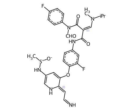 CC(C)N(C)/C=C(/C(=O)Nc1ccc(OC2=CC(N[S+](C)[O-])=CN/C2=C\C=N)c(F)c1)C(=O)N(C=O)c1ccc(F)cc1